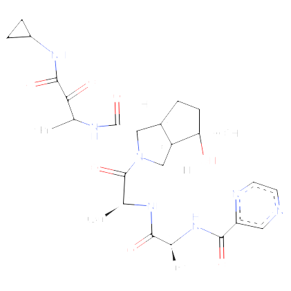 CCCC(NC(=O)[C@@H]1[C@H]2CC[C@@](C)(O)[C@H]2CN1C(=O)[C@@H](NC(=O)[C@@H](NC(=O)c1cnccn1)C(C)C)C(C)(C)C)C(=O)C(=O)NC1CC1